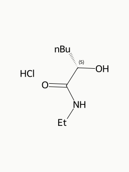 CCCC[C@H](O)C(=O)NCC.Cl